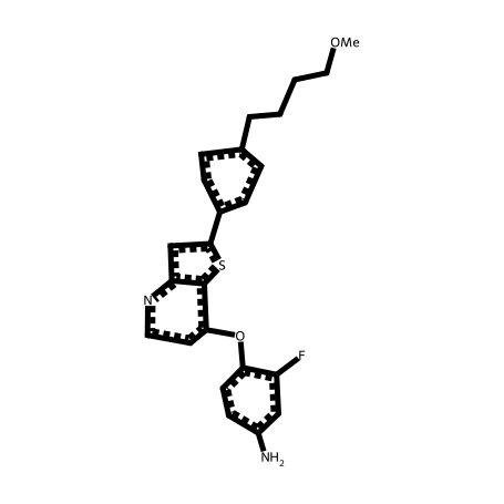 COCCCCc1ccc(-c2cc3nccc(Oc4ccc(N)cc4F)c3s2)cc1